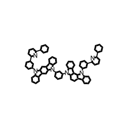 c1ccc(-c2cccc(-c3cccc(-n4c5ccccc5c5cc6c(cc54)c4ccccc4n6-c4cccc(-n5c6ccccc6c6c5ccc5c7ccccc7n(-c7cccc(-c8cccc(-c9ccccc9)n8)c7)c56)c4)c3)n2)cc1